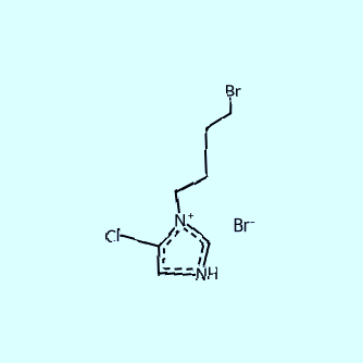 Clc1c[nH]c[n+]1CCCCBr.[Br-]